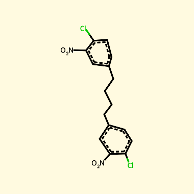 O=[N+]([O-])c1cc(CCCCc2ccc(Cl)c([N+](=O)[O-])c2)ccc1Cl